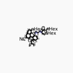 C=C/C(=C\C=C\OC1=c2c(-c3ccccc3CC(F)F)c(C#N)c(C#N)cc2=CCC1CCCCCC)C(=O)N(CCCCCC)CCCCCC